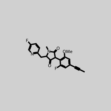 CC#Cc1cc(F)c(C2C(=O)C(Cc3ccc(F)cn3)N(C)C2=O)c(OC)c1